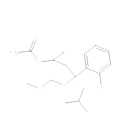 COCO[C@](CC(C)C)(c1ccccc1I)[C@H]1CC1OC(N)=O